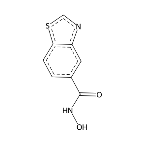 O=C(NO)c1ccc2scnc2c1